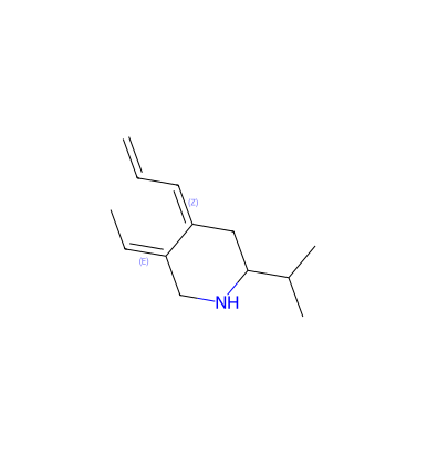 C=C/C=C1/CC(C(C)C)NC/C1=C/C